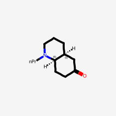 CCCN1CCC[C@H]2CC(=O)CC[C@H]21